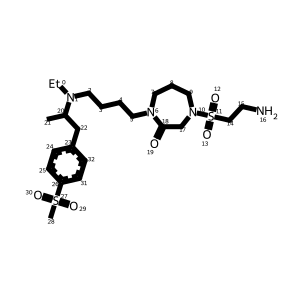 CCN(CCCCN1CCCN(S(=O)(=O)CCN)CC1=O)C(C)Cc1ccc(S(C)(=O)=O)cc1